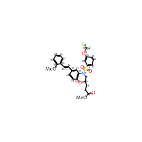 COC(=O)CCC1CN(S(=O)(=O)c2cccc(OC(F)F)c2)c2cc(/C=C/c3ccccc3OC)ccc2O1